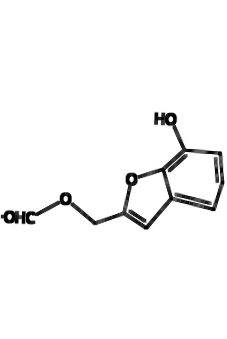 O=[C]OCc1cc2cccc(O)c2o1